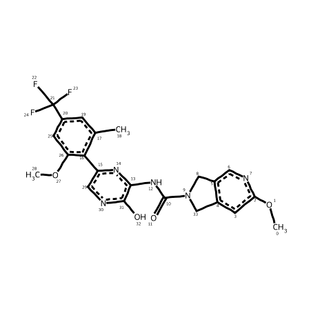 COc1cc2c(cn1)CN(C(=O)Nc1nc(-c3c(C)cc(C(F)(F)F)cc3OC)cnc1O)C2